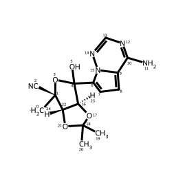 [CH2][C@]1(C#N)OC(O)(c2ccc3c(N)ncnn23)[C@H]2OC(C)(C)O[C@@H]21